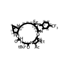 CC[C@@H]1[C@@H]2CN(C(=O)[C@H](C(C)(C)C)NC(=O)O[C@@H]3CC4CC4[C@H]3CCCCC(F)(F)c3nc4ccc(C(F)(F)F)cc4nc3O2)[C@@H]1C(C)=O